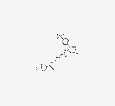 COc1ccc(C(=O)CCCCCC(=O)N[C@H](CN2CCCC2)[C@H](O)c2ccc(C(F)(F)F)cc2)cc1